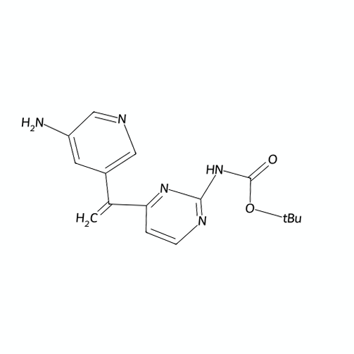 C=C(c1cncc(N)c1)c1ccnc(NC(=O)OC(C)(C)C)n1